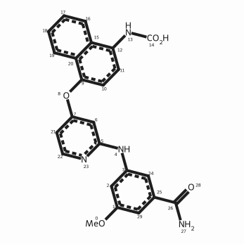 COc1cc(Nc2cc(Oc3ccc(NC(=O)O)c4ccccc34)ccn2)cc(C(N)=O)c1